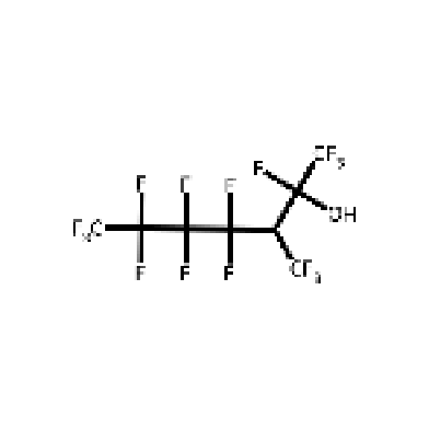 OC(F)([C](C(F)(F)F)C(F)(F)C(F)(F)C(F)(F)C(F)(F)F)C(F)(F)F